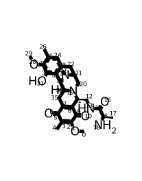 COC1=C(C)C(=O)C2=C(C1=O)[C@H](CNC(=O)[C@@H](C)N)N1CC3Cc4cc(C)c(OC)c(O)c4C([C@@H]1C2)N3C